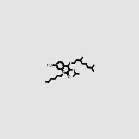 CCCCCCn1c(=O)c(OC(C)C)c(OCC=C(C)CCC=C(C)C)c2ccc(N)cc21